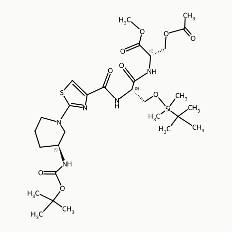 COC(=O)[C@H](COC(C)=O)NC(=O)[C@H](CO[Si](C)(C)C(C)(C)C)NC(=O)c1csc(N2CCC[C@H](NC(=O)OC(C)(C)C)C2)n1